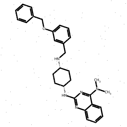 CN(C)c1nc(N[C@H]2CC[C@@H](NCc3cccc(OCc4ccccc4)c3)CC2)nc2ccccc12